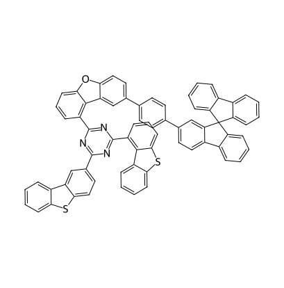 c1ccc2c(c1)-c1ccccc1C21c2ccccc2-c2ccc(-c3ccc(-c4ccc5oc6cccc(-c7nc(-c8ccc9sc%10ccccc%10c9c8)nc(-c8cccc9sc%10ccccc%10c89)n7)c6c5c4)cc3)cc21